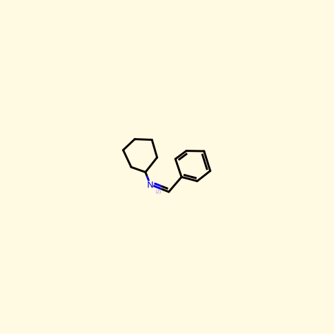 C(=N/C1CCCCC1)/c1ccccc1